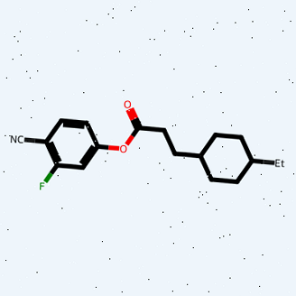 CCC1CCC(CCC(=O)Oc2ccc(C#N)c(F)c2)CC1